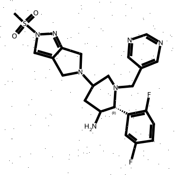 CS(=O)(=O)n1cc2c(n1)CN(C1CC(N)[C@@H](c3cc(F)ccc3F)N(Cc3cncnc3)C1)C2